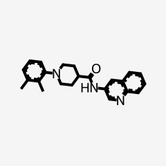 Cc1cccc(N2CCC(C(=O)Nc3cnc4ccccc4c3)CC2)c1C